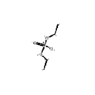 CCOP(=O)([1O])OCC